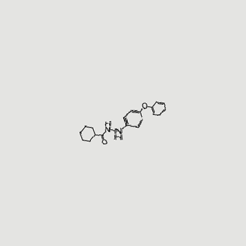 O=C(NNc1ccc(Oc2ccccc2)cc1)C1CCCCC1